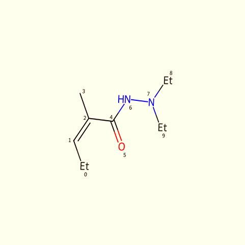 CCC=C(C)C(=O)NN(CC)CC